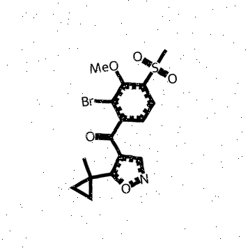 COc1c(S(C)(=O)=O)ccc(C(=O)c2cnoc2C2(C)CC2)c1Br